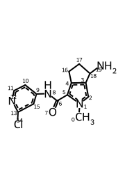 Cn1cc2c(c1C(=O)Nc1ccnc(Cl)c1)CCC2N